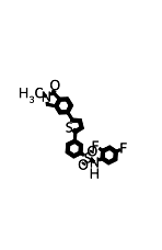 CN1Cc2cc(-c3ccc(-c4cccc(S(=O)(=O)Nc5ccc(F)cc5F)c4)s3)ccc2C1=O